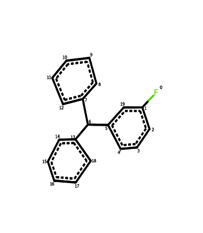 Fc1cc[c]c(C(c2ccccc2)c2ccccc2)c1